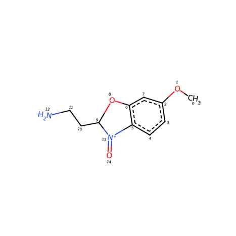 COc1ccc2c(c1)OC(CCN)[N+]2=O